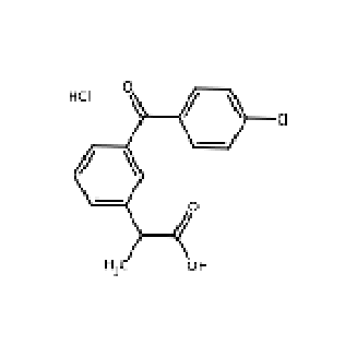 CC(C(=O)O)c1cccc(C(=O)c2ccc(Cl)cc2)c1.Cl